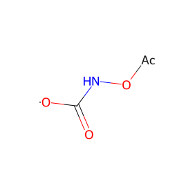 CC(=O)ONC([O])=O